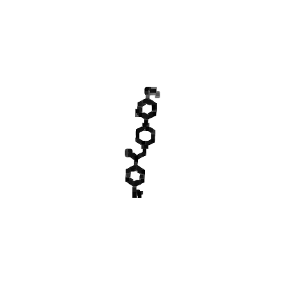 Cc1ccc(N2CCN(CC(=O)c3ccc(C(C)C)cc3)CC2)nc1